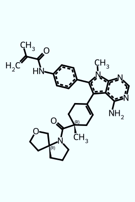 C=C(C)C(=O)Nc1ccc(-c2c(C3=CC[C@](C)(C(=O)N4CCC[C@]45CCOC5)CC3)c3c(N)ncnc3n2C)cc1